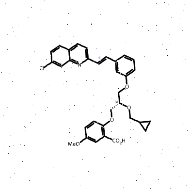 COc1ccc(OC[C@H](COc2cccc(/C=C/c3ccc4ccc(Cl)cc4n3)c2)OCC2CC2)c(C(=O)O)c1